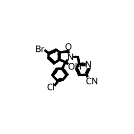 N#Cc1ccc(CN2C(=O)c3cc(Br)ccc3C2(O)c2ccc(Cl)cc2)nc1